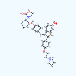 O=C1OCCN1C1CCCCC1Oc1ccc(Cc2c(-c3ccc(OCCN4CCCC4)cc3)sc3cc(O)ccc23)cc1